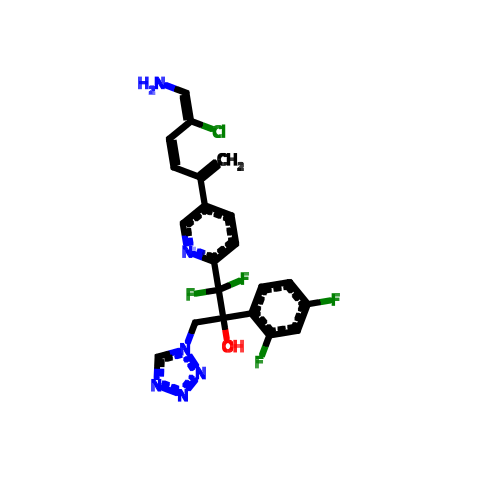 C=C(/C=C\C(Cl)=C/N)c1ccc(C(F)(F)C(O)(Cn2cnnn2)c2ccc(F)cc2F)nc1